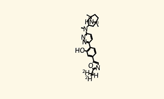 [2H]C([2H])([2H])c1ncc(-c2ccc(-c3ccc(N(C)C4C[C@]5(C)CC[C@](C)(C4)N5)nn3)c(O)c2)o1